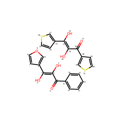 O=C(C(O)=C(O)c1ccoc1)c1ccccc1.O=C(C(O)=C(O)c1ccsc1)c1ccsc1